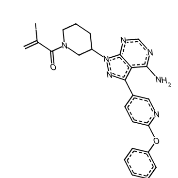 C=C(I)C(=O)N1CCCC(n2nc(-c3ccc(Oc4ccccc4)nc3)c3c(N)ncnc32)C1